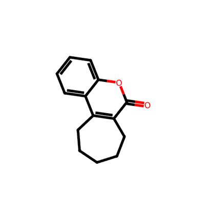 O=c1oc2ccccc2c2c1CCCCC2